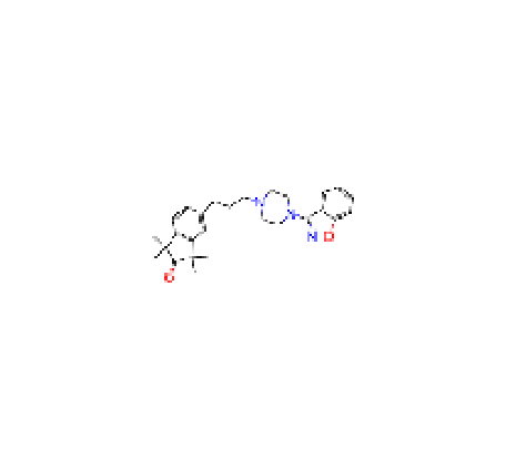 CC1(C)C(=O)C(C)(C)c2cc(CCCN3CCN(c4noc5ccccc45)CC3)ccc21